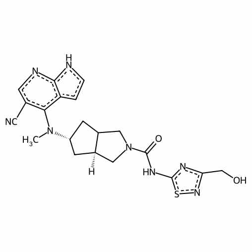 CN(c1c(C#N)cnc2[nH]ccc12)[C@@H]1CC2CN(C(=O)Nc3nc(CO)ns3)C[C@H]2C1